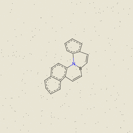 C1=Cc2ccccc2N2B1C=Cc1c2ccc2ccccc12